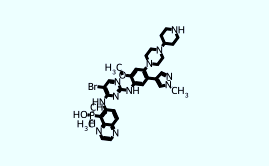 COc1cc(N2CCN(C3CCNCC3)CC2)c(-c2cnn(C)c2)cc1Nc1ncc(Br)c(Nc2ccc3nccnc3c2[PH](C)(C)O)n1